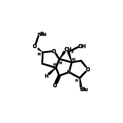 CCCCO[C@H]1C[C@H]2C(=O)N3[C@H](C(C)(C)C)OC[C@@]3(CO)[C@@]2(C)O1